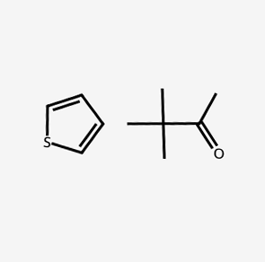 CC(=O)C(C)(C)C.c1ccsc1